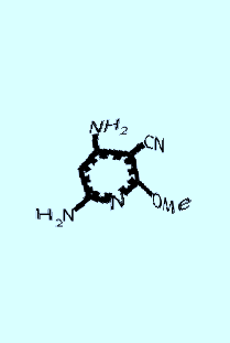 COc1nc(N)cc(N)c1C#N